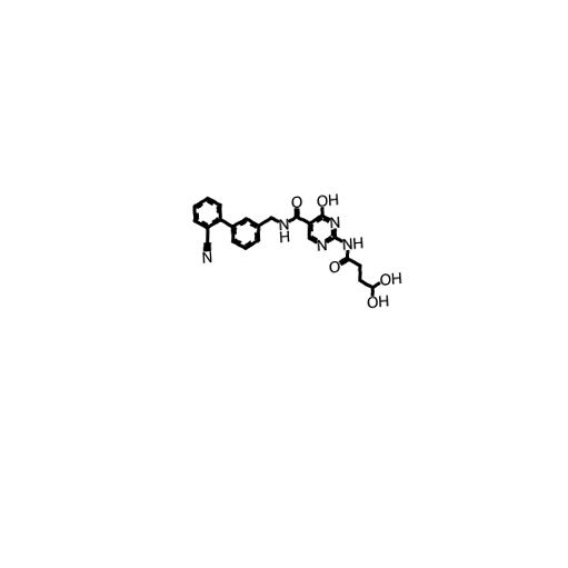 N#Cc1ccccc1-c1cccc(CNC(=O)c2cnc(NC(=O)CCC(O)O)nc2O)c1